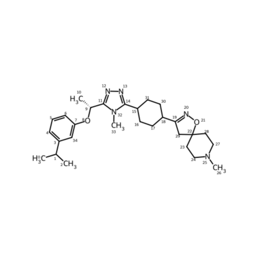 CC(C)c1cccc(O[C@H](C)c2nnc(C3CCC(C4=NOC5(CCN(C)CC5)C4)CC3)n2C)c1